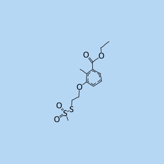 CCOC(=O)c1cccc(OCCSS(C)(=O)=O)c1C